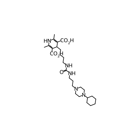 CC1=C(C(=O)O)C(CCCCNC(=O)NCCCN2CCN(C3CCCCC3)CC2)C(C(=O)O)=C(C)N1